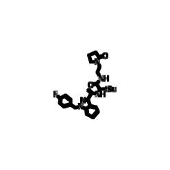 C=C(NC(C(=O)NCCN1CCCC1=O)C(C)(C)C)c1nn(Cc2ccc(F)cc2)c2ccccc12